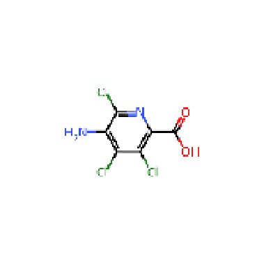 Nc1c(Cl)nc(C(=O)O)c(Cl)c1Cl